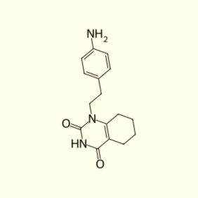 Nc1ccc(CCn2c3c(c(=O)[nH]c2=O)CCCC3)cc1